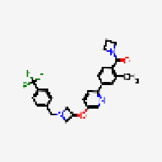 Cc1cc(-c2ccc(OC3CN(Cc4ccc(C(F)(F)F)cc4)C3)cn2)ccc1C(=O)N1CCC1